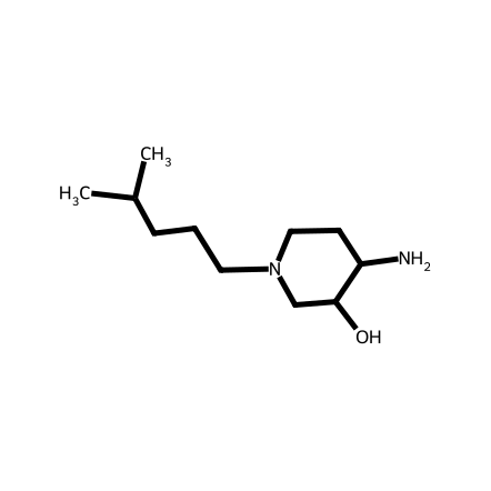 CC(C)CCCN1CCC(N)C(O)C1